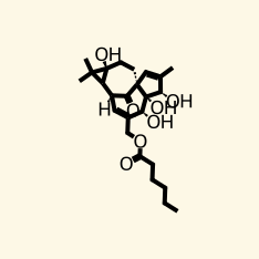 CCCCCC(=O)OCC1=C[C@@H]2C(=O)[C@]3(C=C(C)[C@H](O)[C@@]3(O)[C@@H]1O)CC[C@]1(O)C2C1(C)C